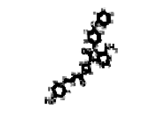 Nc1ncnc2c1n(-c1ccc(Oc3ccccc3)cc1)c(=O)n2C1CN(C(=O)C=CCN2CCC(O)CC2)C1